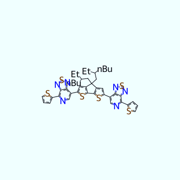 CCCCC(CC)CC1(CC(CC)CCCC)c2cc(-c3cnc(-c4cccs4)c4nsnc34)sc2-c2sc(-c3cnc(-c4cccs4)c4nsnc34)cc21